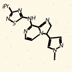 CC(C)c1nsc(NC2=NC=CN3C2=NCC3c2cnn(C)c2)n1